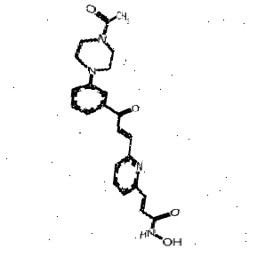 CC(=O)N1CCN(c2cccc(C(=O)C=Cc3cccc(C=CC(=O)NO)n3)c2)CC1